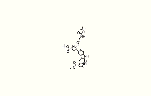 CCOC(=O)c1cc(C)[nH]c1/C=C1\C(=O)Nc2cnc(-c3cn(C(=O)OC(C)(C)C)nc3COCCNC(=O)OC(C)(C)C)cc21